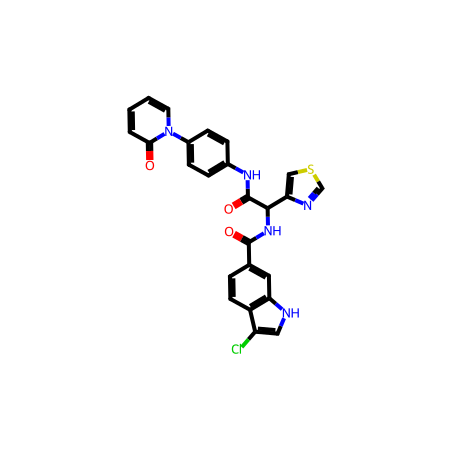 O=C(NC(C(=O)Nc1ccc(-n2ccccc2=O)cc1)c1cscn1)c1ccc2c(Cl)c[nH]c2c1